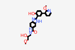 COCC(O)CNC(=O)c1ccc2nc(-c3cc(-c4cccnc4OC)ccc3O)[nH]c2c1